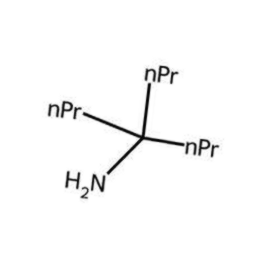 CCCC(N)(CCC)CCC